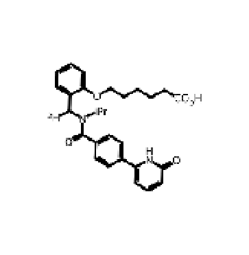 [2H]C(c1ccccc1OCCCCCC(=O)O)N(C(=O)c1ccc(-c2cccc(=O)[nH]2)cc1)C(C)C